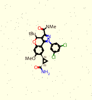 CNC(=O)c1nn(-c2cc(Cl)cc(Cl)c2)c2c1C(C(C)(C)C)Oc1cc(OC)c([C@H]3C[C@@H]3C(N)=O)cc1-2